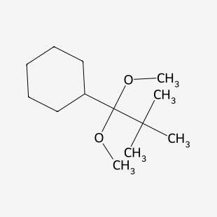 COC(OC)(C1CCCCC1)C(C)(C)C